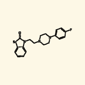 O=c1[se]c2ccccc2n1CCN1CCN(c2ccc(F)cc2)CC1